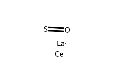 O=S.[Ce].[La]